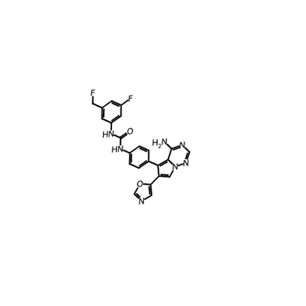 Nc1ncnn2cc(-c3cnco3)c(-c3ccc(NC(=O)Nc4cc(F)cc(CF)c4)cc3)c12